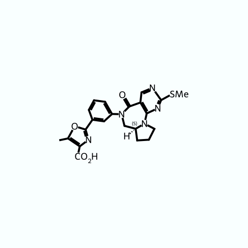 CSc1ncc2c(n1)N1CCC[C@H]1CN(c1cccc(-c3nc(C(=O)O)c(C)o3)c1)C2=O